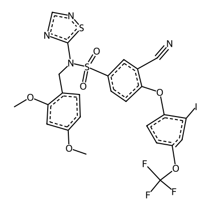 COc1ccc(CN(c2ncns2)S(=O)(=O)c2ccc(Oc3ccc(OC(F)(F)F)cc3I)c(C#N)c2)c(OC)c1